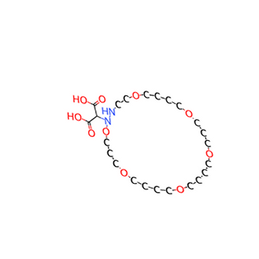 O=C(O)C(C(=O)O)N1NCCOCCCCOCCCOCCCCOCCCCOCCCO1